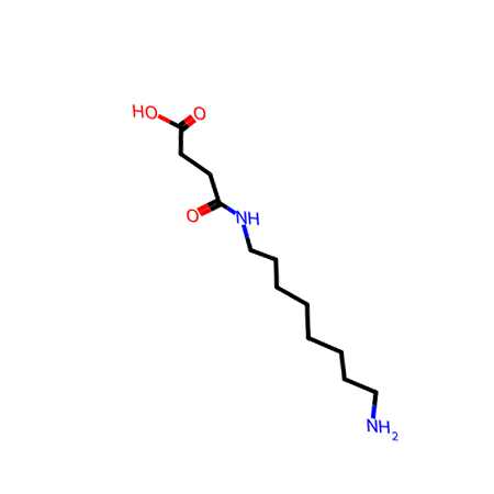 NCCCCCCCCNC(=O)CCC(=O)O